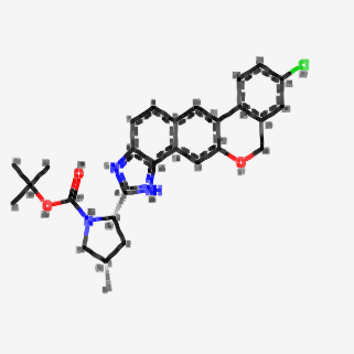 C[C@H]1C[C@@H](c2nc3ccc4cc5c(cc4c3[nH]2)OCc2cc(Cl)ccc2-5)N(C(=O)OC(C)(C)C)C1